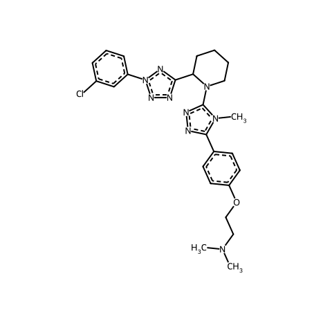 CN(C)CCOc1ccc(-c2nnc(N3CCCCC3c3nnn(-c4cccc(Cl)c4)n3)n2C)cc1